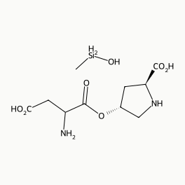 C[SiH2]O.NC(CC(=O)O)C(=O)O[C@H]1CN[C@H](C(=O)O)C1